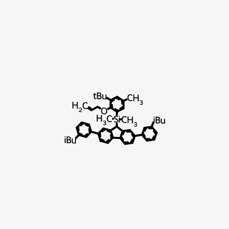 C=CCOc1c(C(C)(C)C)cc(C)cc1[Si](C)(C)C1c2cc(-c3cccc(C(C)CC)c3)ccc2-c2ccc(-c3cccc(C(C)CC)c3)cc21